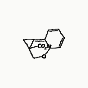 CCOC(=O)C12COC3C=CC=CC3=C1C2